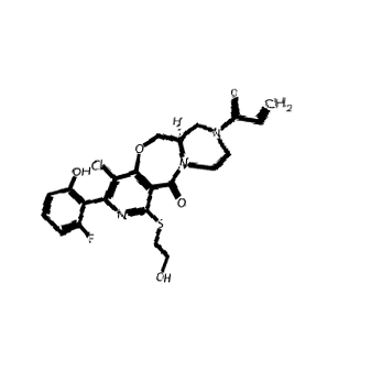 C=CC(=O)N1CCN2C(=O)c3c(SCCO)nc(-c4c(O)cccc4F)c(Cl)c3OC[C@H]2C1